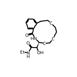 CCNC(=O)C(O)[C@@H]1CCCCCCCCc2ccccc2C(=O)N1